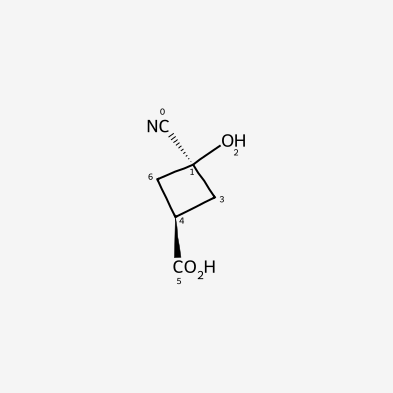 N#C[C@]1(O)C[C@@H](C(=O)O)C1